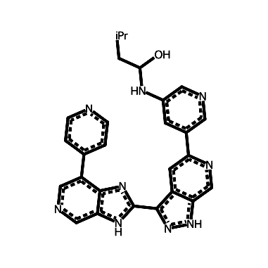 CC(C)CC(O)Nc1cncc(-c2cc3c(-c4nc5c(-c6ccncc6)cncc5[nH]4)n[nH]c3cn2)c1